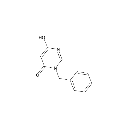 O=c1cc(O)ncn1Cc1ccccc1